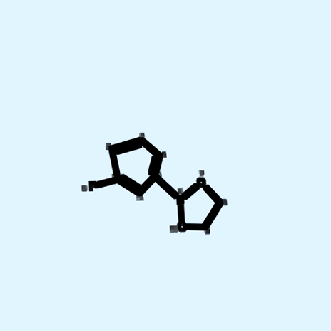 Fc1cccc(B2OCCO2)c1